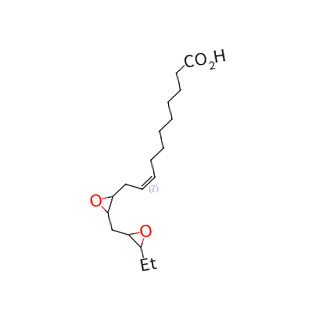 CCC1OC1CC1OC1C/C=C\CCCCCCCC(=O)O